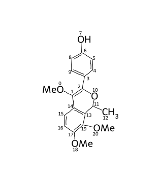 COC1=C(c2ccc(O)cc2)OC(C)c2c1ccc(OC)c2OC